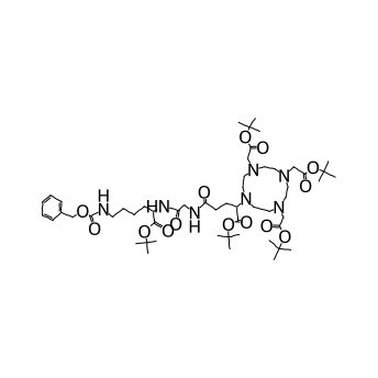 CC(C)(C)OC(=O)CN1CCN(CC(=O)OC(C)(C)C)CCN(C(CCC(=O)NCC(=O)NC(CCCCNC(=O)OCc2ccccc2)C(=O)OC(C)(C)C)C(=O)OC(C)(C)C)CCN(CC(=O)OC(C)(C)C)CC1